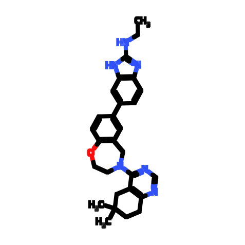 CCNc1nc2ccc(-c3ccc4c(c3)CN(c3ncnc5c3CC(C)(C)CC5)CCO4)cc2[nH]1